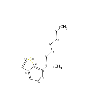 CCCCCCC(C)c1cccc2ccsc12